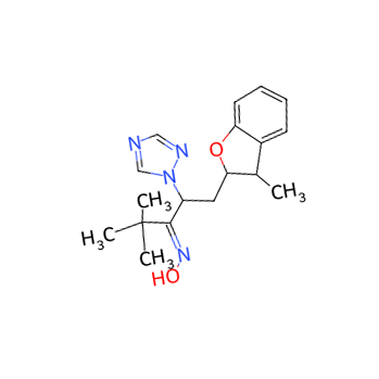 CC1c2ccccc2OC1CC(C(=NO)C(C)(C)C)n1cncn1